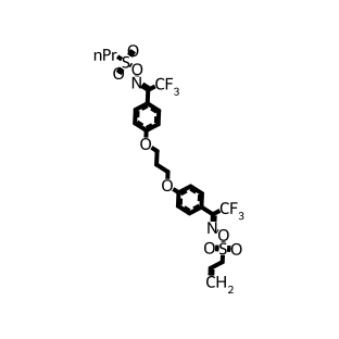 C=CCS(=O)(=O)O/N=C(/c1ccc(OCCCOc2ccc(/C(=N/OS(=O)(=O)CCC)C(F)(F)F)cc2)cc1)C(F)(F)F